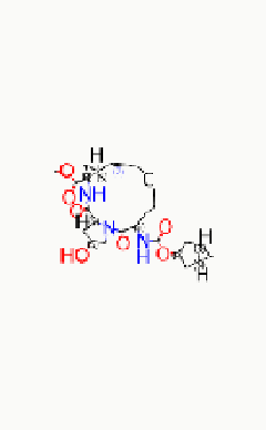 COC(=O)[C@@]12C[C@H]1/C=C\CCCCC[C@H](NC(=O)O[C@@H]1C[C@@H]3C[C@@H]3C1)C(=O)N1C[C@@H](O)C[C@H]1C(=O)N2